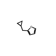 c1coc(CC2CC2)c1